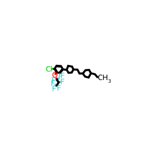 CCCC1CCC(CCC2CCC(c3ccc(Cl)c(OC(F)(F)C(F)C(F)(F)F)c3F)CC2)CC1